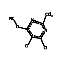 N#COc1nc(C(Cl)(Cl)Cl)nc(Cl)c1Cl